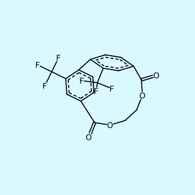 O=C1OCCOC(=O)c2ccc(c(C(F)(F)F)c2)-c2ccc1cc2C(F)(F)F